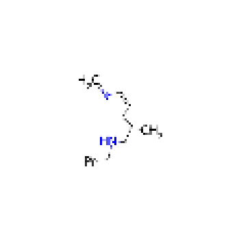 C=N/C=C\C=C(/C)CNCC(C)C